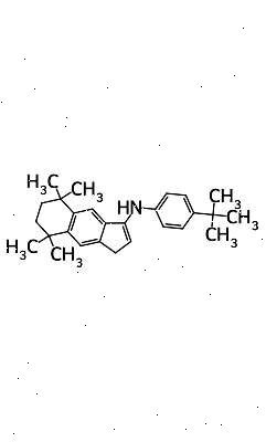 CC(C)(C)c1ccc(NC2=CCc3cc4c(cc32)C(C)(C)CCC4(C)C)cc1